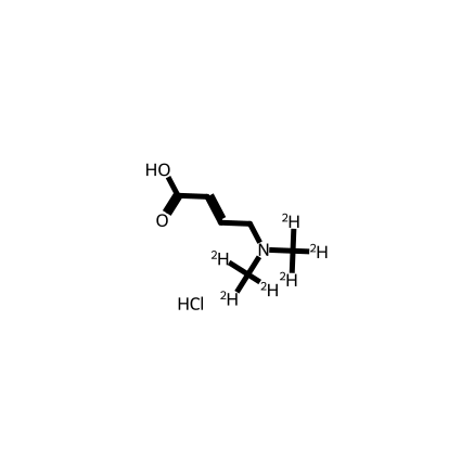 Cl.[2H]C([2H])([2H])N(C/C=C/C(=O)O)C([2H])([2H])[2H]